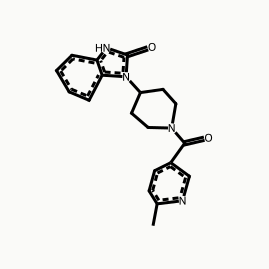 Cc1ccc(C(=O)N2CCC(n3c(=O)[nH]c4ccccc43)CC2)cn1